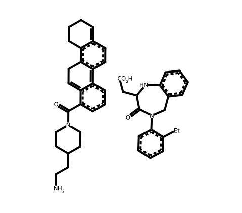 CCc1ccccc1N1Cc2ccccc2NC(CC(=O)O)C1=O.NCCC1CCN(C(=O)c2cccc3c2=CCc2c4c(ccc2=3)=CCCC4)CC1